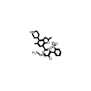 Cc1cc(-c2ncc(Cl)c(-c3ccccc3S(=O)(=O)C(C)C)n2)c2c(c1C1CCNCC1)CC(C)O2.NN